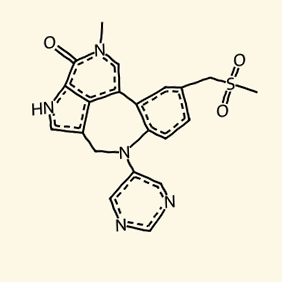 Cn1cc2c3c(c[nH]c3c1=O)CN(c1cncnc1)c1ccc(CS(C)(=O)=O)cc1-2